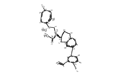 O=Cc1cc(-c2ccc3c(c2)C[C@@H](N(C[C@H](O)c2ccc(Cl)cc2)C(=O)O)CC3)ccc1F